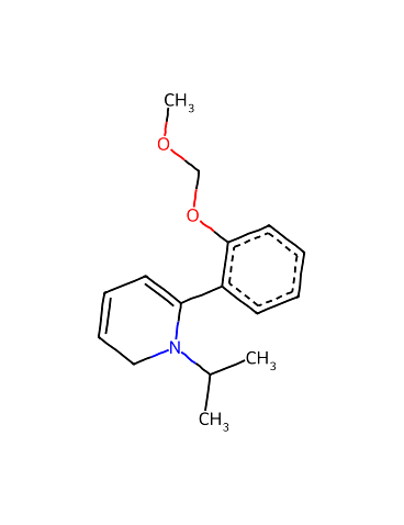 COCOc1ccccc1C1=CC=CCN1C(C)C